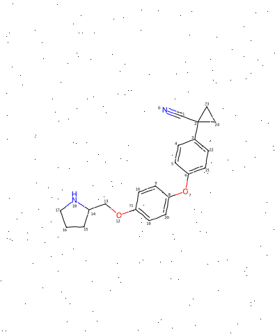 N#CC1(c2ccc(Oc3ccc(OCC4CCCN4)cc3)cc2)CC1